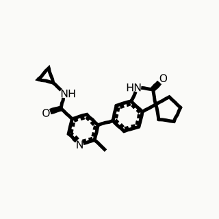 Cc1ncc(C(=O)NC2CC2)cc1-c1ccc2c(c1)NC(=O)C21CCCC1